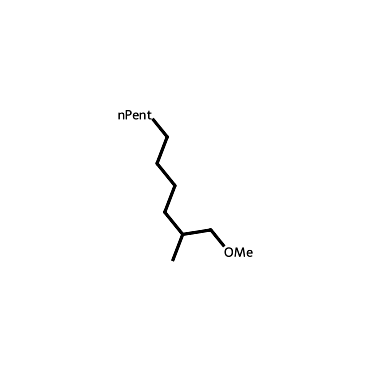 CCCCCCCCCC(C)COC